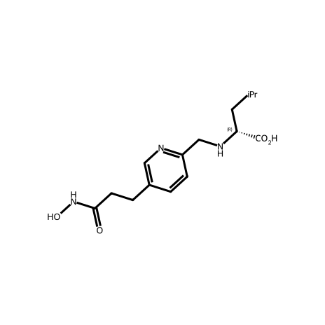 CC(C)C[C@@H](NCc1ccc(CCC(=O)NO)cn1)C(=O)O